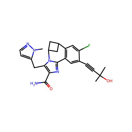 Cn1nccc1Cc1c(C(N)=O)nc2n1C1CC(C1)c1cc(F)c(C#CC(C)(C)O)cc1-2